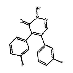 CC(C)n1ncc(-c2cccc(F)c2)c(-c2cccc(F)c2)c1=O